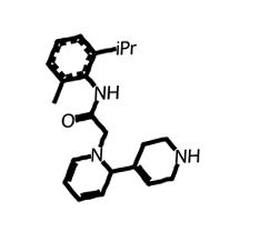 Cc1cccc(C(C)C)c1NC(=O)CN1C=CC=CC1C1=CCNCC1